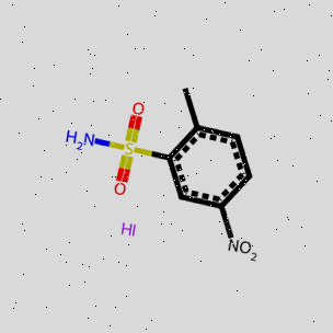 Cc1ccc([N+](=O)[O-])cc1S(N)(=O)=O.I